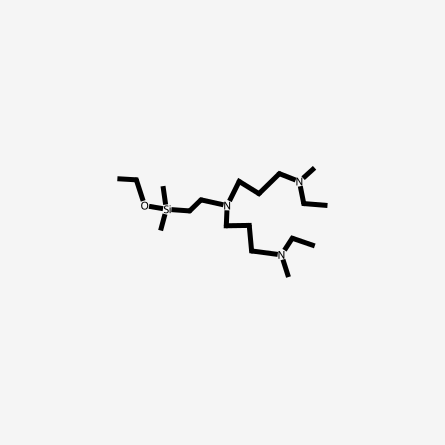 CCO[Si](C)(C)CCN(CCCN(C)CC)CCCN(C)CC